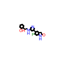 O=C1Cc2cc(-c3cncc(NCCc4ccccc4O)c3)c(F)cc2N1